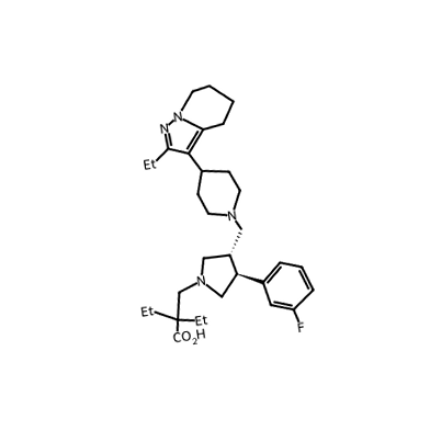 CCc1nn2c(c1C1CCN(C[C@H]3CN(CC(CC)(CC)C(=O)O)C[C@@H]3c3cccc(F)c3)CC1)CCCC2